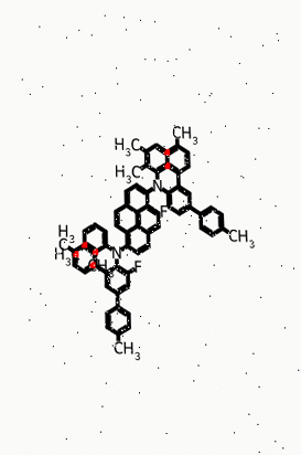 Cc1ccc(-c2cc(F)c(N(c3cccc(C)c3C)c3ccc4ccc5c(N(c6cccc(C)c6C)c6c(F)cc(-c7ccc(C)cc7)cc6-c6ccc(C)cc6)ccc6ccc3c4c65)c(-c3ccc(C)cc3)c2)cc1